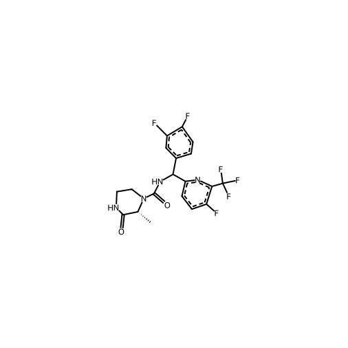 C[C@@H]1C(=O)NCCN1C(=O)NC(c1ccc(F)c(F)c1)c1ccc(F)c(C(F)(F)F)n1